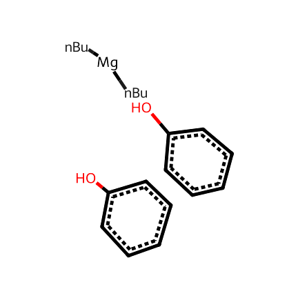 CCC[CH2][Mg][CH2]CCC.Oc1ccccc1.Oc1ccccc1